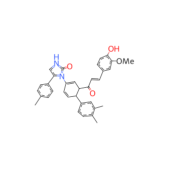 COc1cc(/C=C/C(=O)C2C=C(n3c(-c4ccc(C)cc4)c[nH]c3=O)C=CC2c2ccc(C)c(C)c2)ccc1O